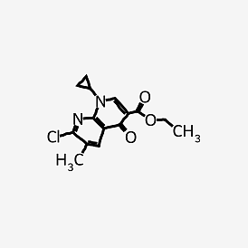 CCOC(=O)c1cn(C2CC2)c2nc(Cl)c(C)cc2c1=O